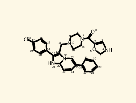 O=C(C1=CNCO1)N1CCN(CC2=C(c3ccc(Cl)cc3)NC3C=CC(c4ccccc4)=CN23)CC1